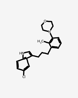 Cc1c(N2CCOCC2)[c]ccc1CCCc1c[nH]c2ccc(Cl)cc12